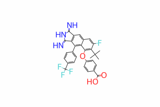 CC(C)(C)c1c(F)cc2cc3c(c(-c4ccc(C(F)(F)F)cc4)c2c1Oc1ccc(C(=O)O)cc1)C(=N)NC3=N